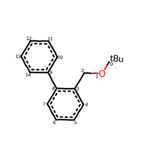 CC(C)(C)OCc1ccccc1-c1ccccc1